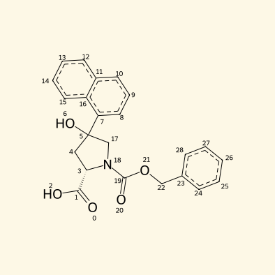 O=C(O)[C@@H]1CC(O)(c2cccc3ccccc23)CN1C(=O)OCc1ccccc1